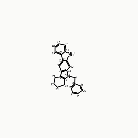 c1ccc(Cn2c3c(c4cc5c(cc42)[nH]c2ccccc25)CCCC3)cc1